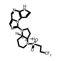 O=S(=O)(CCC(F)(F)F)N1CCC[C@H]2[C@H]1CCN2c1ncc2cnc3[nH]ccc3n12